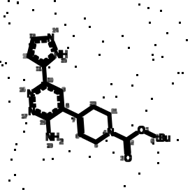 CC(C)(C)OC(=O)N1CC=C(c2cc(-c3ccn[nH]3)nnc2N)CC1